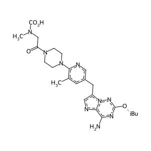 CC[C@@H](C)Oc1nc(N)c2ncc(Cc3cnc(N4CCN(C(=O)CN(C)C(=O)O)CC4)c(C)c3)n2n1